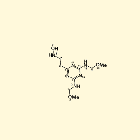 COCNc1nc(CCNO)nc(NCOC)n1